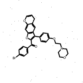 O=C(c1ccc(Br)cc1)c1oc2cc3c(cc2c1-c1ccc(OCCN2CCOCC2)cc1)CC=CO3